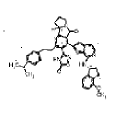 COc1cccc2c1CC[C@H]2Nc1nccc2cc(-c3c4c(nc(CCc5ccc(C(C)C)cc5)c3-c3noc(=O)[nH]3)[C@@H]3CCCN3C4=O)sc12